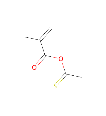 C=C(C)C(=O)OC(C)=S